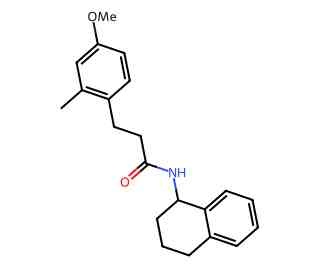 COc1ccc(CCC(=O)NC2CCCc3ccccc32)c(C)c1